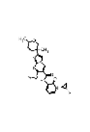 CC(C)Oc1nc2nc([C@@]3(C)CCC(C)OC3)cn2cc1C(=O)Nc1cccn([C@@H]2C[C@@H]2F)c1=O